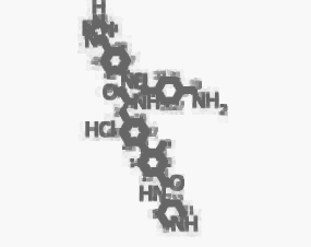 Cc1cc(C(=O)NC2CCNCC2)ccc1-c1ccc(C[C@H](NC(=O)C2CCC(CN)CC2)C(=O)Nc2ccc(-c3nn[nH]n3)cc2)cc1.Cl